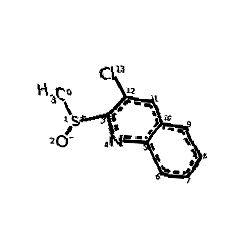 C[S+]([O-])c1nc2ccccc2cc1Cl